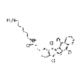 NCCCCCCNC(=O)CCc1ccc2c(=O)c3sc4c(=O)c5ccccc5c(=O)c4c3c(=O)c2c1